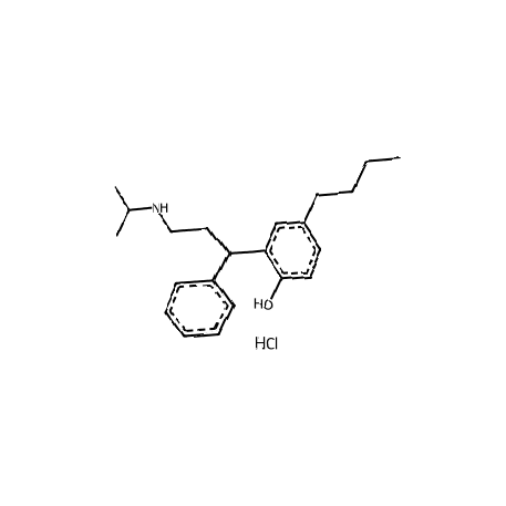 CCCCc1ccc(O)c(C(CCNC(C)C)c2ccccc2)c1.Cl